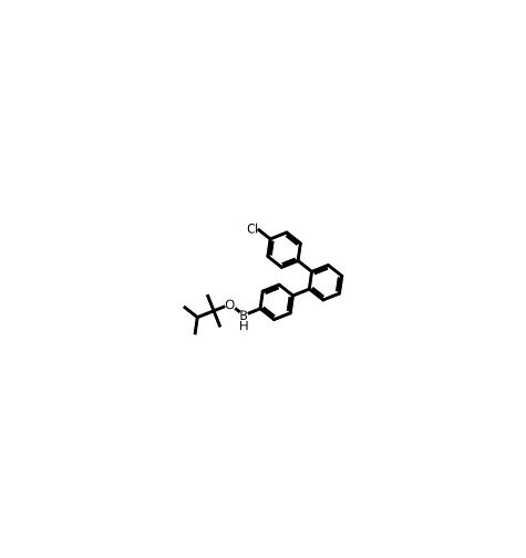 CC(C)C(C)(C)OBc1ccc(-c2ccccc2-c2ccc(Cl)cc2)cc1